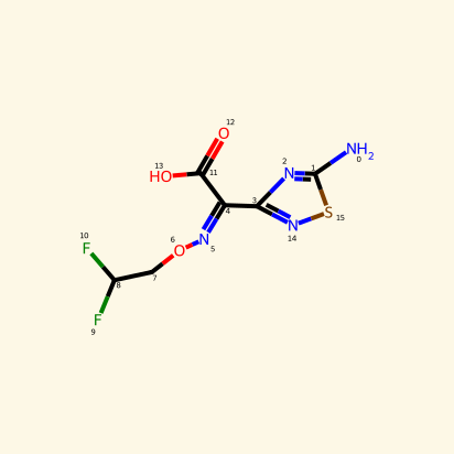 Nc1nc(C(=NOCC(F)F)C(=O)O)ns1